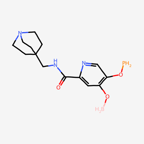 BOc1cc(C(=O)NCC23CCN(CC2)CC3)ncc1OP